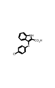 O=C(O)c1[nH]c2ccccc2c1Sc1ccc(Cl)cc1